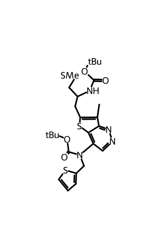 CSCC(Cc1sc2c(N(Cc3cccs3)C(=O)OC(C)(C)C)cnnc2c1C)NC(=O)OC(C)(C)C